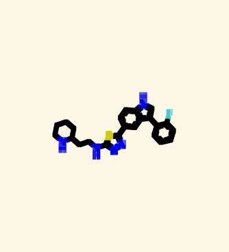 Fc1ccccc1-c1c[nH]c2ccc(-c3nnc(NCCC4CCCCN4)s3)cc12